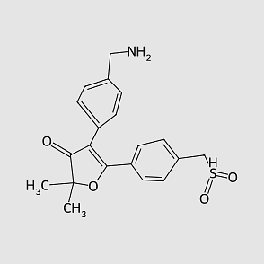 CC1(C)OC(c2ccc(C[SH](=O)=O)cc2)=C(c2ccc(CN)cc2)C1=O